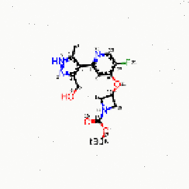 Cc1[nH]nc(CO)c1-c1cc(OC2CN(C(=O)OC(C)(C)C)C2)c(F)cn1